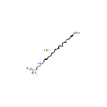 CCCCCCCCC=CCCCCCCCCCCCCC=CCNCCCN(C)C.Cl